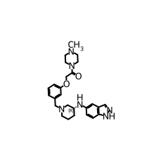 CN1CCN(C(=O)COc2cccc(CN3CCC[C@@H](Nc4ccc5[nH]ncc5c4)C3)c2)CC1